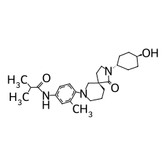 Cc1cc(NC(=O)C(C)C)ccc1N1CCC[C@]2(CCN([C@H]3CC[C@H](O)CC3)C2=O)C1